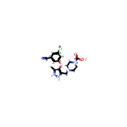 Cc1n[nH]c(CN2CCN(C(=O)O)CC2)c1Oc1cc(Cl)cc(C#N)c1